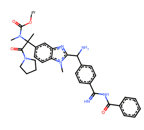 CC(C)OC(=O)N(C)C(C)(C(=O)N1CCCC1)c1ccc2c(c1)nc(C(N)c1ccc(C(=N)NC(=O)c3ccccc3)cc1)n2C